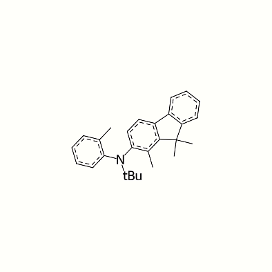 Cc1ccccc1N(c1ccc2c(c1C)C(C)(C)c1ccccc1-2)C(C)(C)C